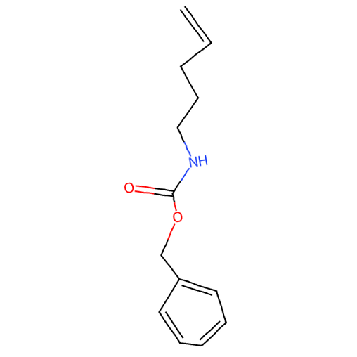 C=CCCCNC(=O)OCc1ccccc1